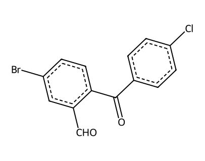 O=Cc1cc(Br)ccc1C(=O)c1ccc(Cl)cc1